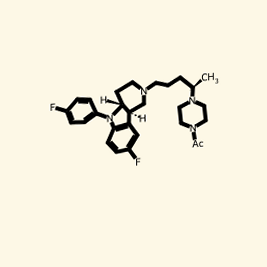 CC(=O)N1CCN([C@H](C)CCCN2CC[C@@H]3[C@@H](C2)c2cc(F)ccc2N3c2ccc(F)cc2)CC1